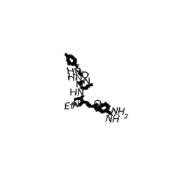 CCN1CC(C=Cc2cc3cc(C(=N)N)ccc3o2)C(CNc2cc(C)nc(NC(=O)NSc3ccc(C)cc3)n2)C1